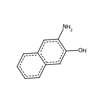 Nc1cc2ccccc2[c]c1O